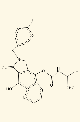 CC(C)C(C=O)NC(=O)Oc1c2c(c(O)c3ncccc13)C(=O)N(Cc1ccc(F)cc1)C2